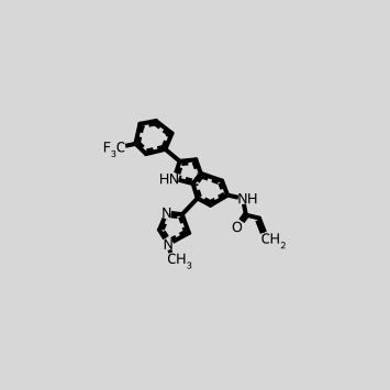 C=CC(=O)Nc1cc(-c2cn(C)cn2)c2[nH]c(-c3cccc(C(F)(F)F)c3)cc2c1